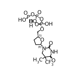 CC1(C(F)(F)F)CN([C@H]2CC[C@@H](COP(=O)(O)OP(=O)(O)OP(=O)(O)O)O2)C(=O)NC1=O